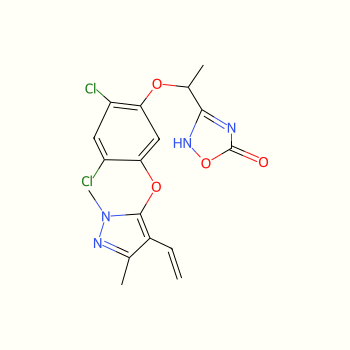 C=Cc1c(C)nn(C)c1Oc1cc(OC(C)c2nc(=O)o[nH]2)c(Cl)cc1Cl